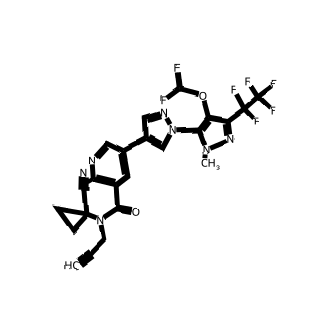 C#CCN(C(=O)c1cc(-c2cnn(-c3c(OC(F)F)c(C(F)(F)C(F)(F)F)nn3C)c2)cnc1Cl)C1(C#N)CC1